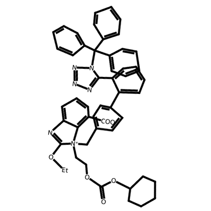 CCOC1=Nc2cccc(C(=O)[O-])c2[N+]1(CCOC(=O)OC1CCCCC1)Cc1ccc(-c2ccccc2-c2nnnn2C(c2ccccc2)(c2ccccc2)c2ccccc2)cc1